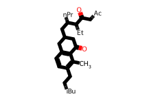 CCCC(CC1CC(=O)c2c(ccc(CCC(C)CC)c2C)C1)C(CC)C(=O)CC(C)=O